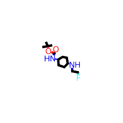 CC(C)(C)OC(=O)N[C@H]1CC[C@H](NCCF)CC1